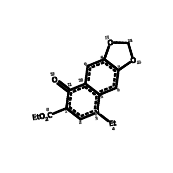 CCOC(=O)c1cn(CC)c2cc3c(cc2c1=O)OCO3